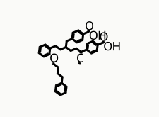 C=C=C(CCC(CCc1ccccc1OCCCCc1ccccc1)Cc1ccc(C(=O)O)cc1)c1ccc(C(=O)O)cc1